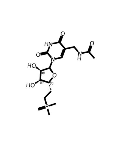 C=P(C)(C)CC[C@H]1OC(n2cc(CNC(C)=O)c(=O)[nH]c2=O)[C@H](O)[C@@H]1O